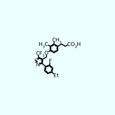 CCc1ccc(-c2nsc(C(F)(F)F)c2COc2ccc(CCC(=O)O)c(C)c2C)c(F)c1